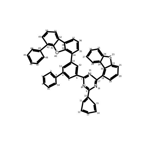 c1ccc(-c2cc(-c3nc(-c4ccccc4)nc(-c4cccc5sc6ccccc6c45)n3)cc(-c3cccc4c3oc3c(-c5ccccc5)cccc34)c2)cc1